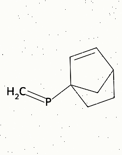 C=PC12C=CC(CC1)C2